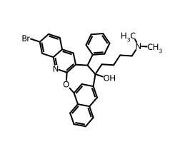 CN(C)CCCCC1(O)c2cc(c3ccccc3c2)Oc2nc3cc(Br)ccc3cc2C1c1ccccc1